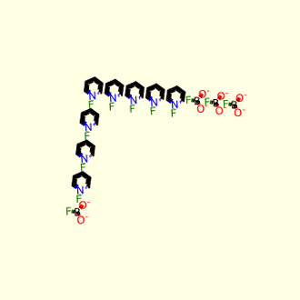 F[n+]1ccccc1.F[n+]1ccccc1.F[n+]1ccccc1.F[n+]1ccccc1.F[n+]1ccccc1.F[n+]1ccccc1.F[n+]1ccccc1.F[n+]1ccccc1.[O-]B([O-])F.[O-]B([O-])F.[O-]B([O-])F.[O-]B([O-])F